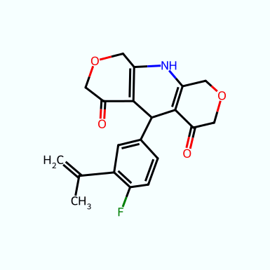 C=C(C)c1cc(C2C3=C(COCC3=O)NC3=C2C(=O)COC3)ccc1F